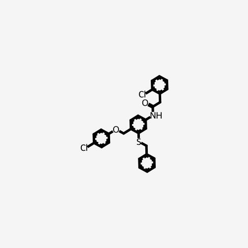 O=C(Cc1ccccc1Cl)Nc1ccc(COc2ccc(Cl)cc2)c(SCc2ccccc2)c1